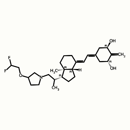 C=C1[C@H](O)CC(=CC=C2CCC[C@]3(C)[C@@H](C(C)CN4CCC(OCC(F)F)C4)CC[C@@H]23)C[C@H]1O